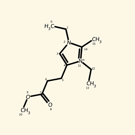 CCn1cc(CCC(=O)OC)[n+](CC)c1C